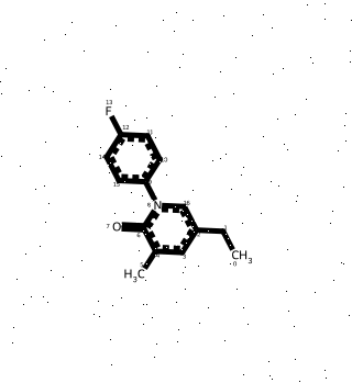 CCc1cc(C)c(=O)n(-c2ccc(F)cc2)c1